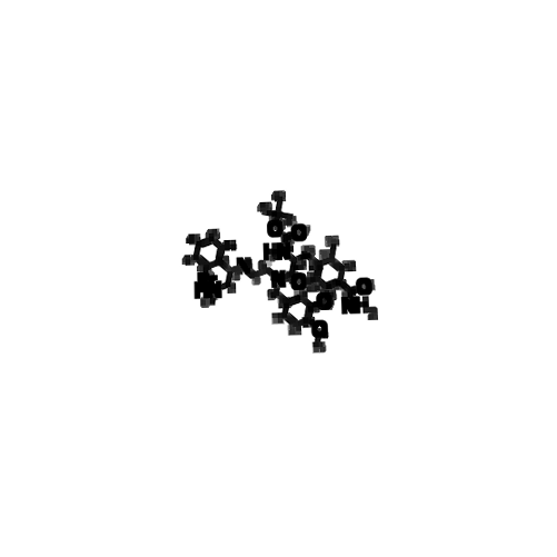 CNCC(/N=C/[C@H](C)N(Cc1ccc(OC)c(OC)c1)C(=O)[C@H](Cc1c(C)cc(C(N)=O)cc1C)NC(=O)OC(C)(C)C)c1ccccc1Br